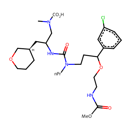 CCCN(CCC(OCCNC(=O)OC)c1cccc(Cl)c1)C(=O)NC(C[C@H]1CCCOC1)CN(C)C(=O)O